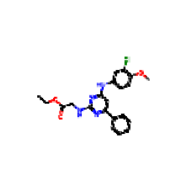 CCOC(=O)CNc1nc(Nc2ccc(OC)c(Cl)c2)cc(-c2ccccc2)n1